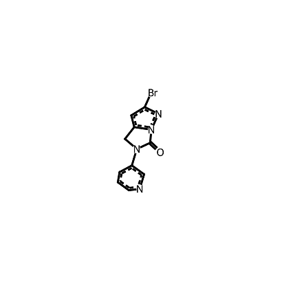 O=C1N(c2cccnc2)Cc2cc(Br)nn21